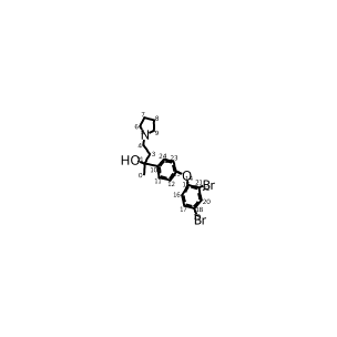 CC(O)(CCN1CCCC1)c1ccc(Oc2ccc(Br)cc2Br)cc1